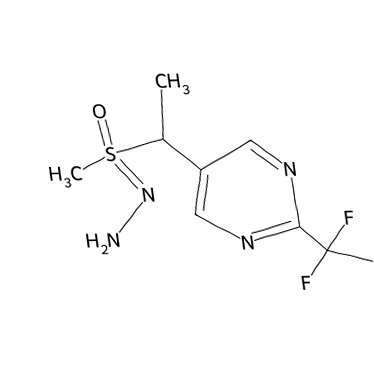 CC(c1cnc(C(F)(F)F)nc1)S(C)(=O)=NN